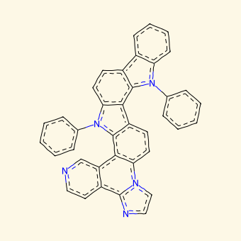 c1ccc(-n2c3ccccc3c3ccc4c(c5ccc6c(c7cnccc7c7nccn67)c5n4-c4ccccc4)c32)cc1